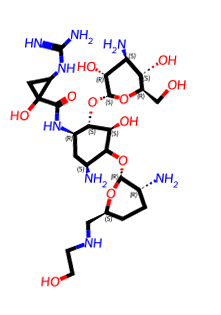 N=C(N)NC1CC1(O)C(=O)N[C@@H]1C[C@H](N)C(O[C@H]2O[C@H](CNCCO)CC[C@H]2N)[C@H](O)[C@H]1O[C@H]1O[C@H](CO)[C@@H](O)[C@H](N)[C@H]1O